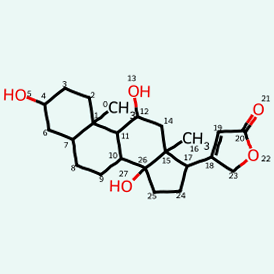 CC12CCC(O)CC1CCC1C2C(O)CC2(C)C(C3=CC(=O)OC3)CCC12O